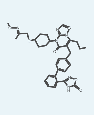 CCCc1c(Cc2ccc(-c3ccccc3-c3noc(=O)[nH]3)cc2)c(=O)n(C2CCC(OC/C(C)=N/OC)CC2)c2ncnn12